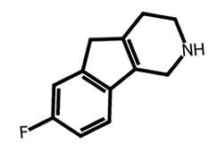 Fc1ccc2c(c1)CC1=C2CNCC1